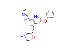 c1ccc(Oc2cnc(Nc3nccs3)c(OCC3CNCCO3)c2)cc1